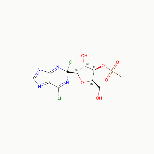 CS(=O)(=O)O[C@@H]1[C@@H](O)[C@H](C2(Cl)N=C(Cl)C3=NC=NC3=N2)O[C@@H]1CO